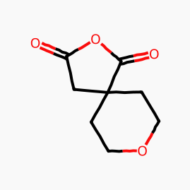 O=C1CC2(CCOCC2)C(=O)O1